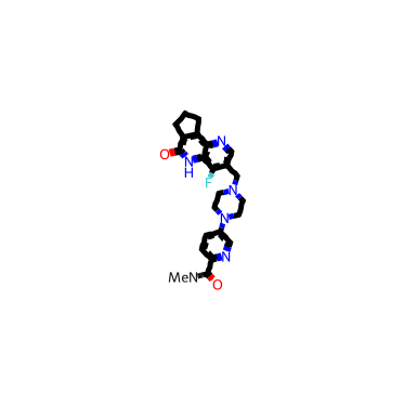 CNC(=O)c1ccc(N2CCN(Cc3cnc4c5c(c(=O)[nH]c4c3F)CCC5)CC2)cn1